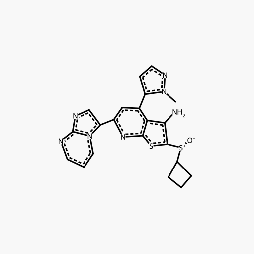 Cn1nccc1-c1cc(-c2cnc3ncccn23)nc2sc([S@+]([O-])C3CCC3)c(N)c12